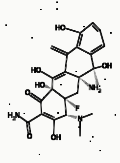 C=C1C2=C(O)[C@]3(O)C(=O)C(C(N)=O)=C(O)[C@@H](N(C)C)[C@]3(F)C[C@]2(N)[C@](C)(O)c2cccc(O)c21